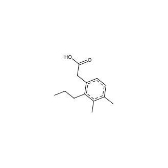 CCCc1c(CC(=O)O)ccc(C)c1C